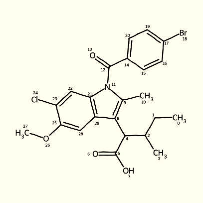 CCC(C)C(C(=O)O)c1c(C)n(C(=O)c2ccc(Br)cc2)c2cc(Cl)c(OC)cc12